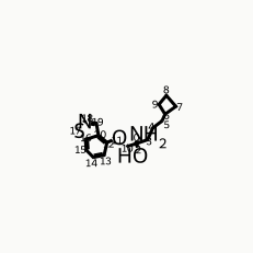 NC(O)(CCCC1CCC1)COc1cccc2sncc12